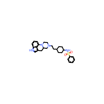 O=S(=O)(NC1CCC(CCN2CCN3c4cccc5[nH]cc(c45)CC3C2)CC1)c1ccccc1